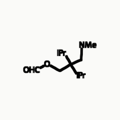 CNCC(COC=O)(C(C)C)C(C)C